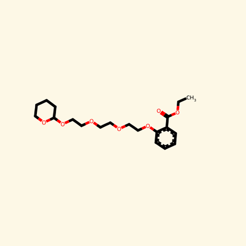 CCOC(=O)c1ccccc1OCCOCCOCCOC1CCCCO1